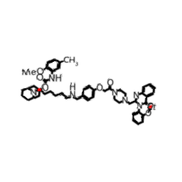 CCOc1ccccc1-n1c(CN2CCN(C(=O)COc3ccc(CNCCCCCCN4C5CCCC4CC(OC(=O)Nc4cc(C)ccc4OC)C5)cc3)CC2)nc2ccccc2c1=O